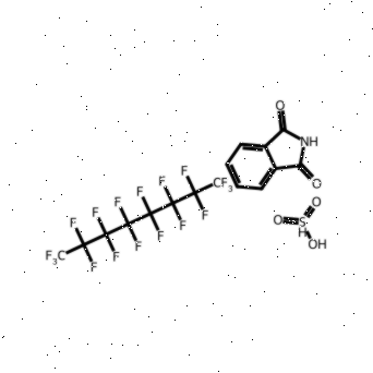 FC(F)(F)C(F)(F)C(F)(F)C(F)(F)C(F)(F)C(F)(F)C(F)(F)C(F)(F)F.O=C1NC(=O)c2ccccc21.O=[SH](=O)O